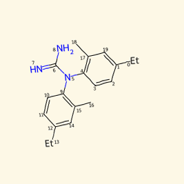 CCc1ccc(N(C(=N)N)c2ccc(CC)cc2C)c(C)c1